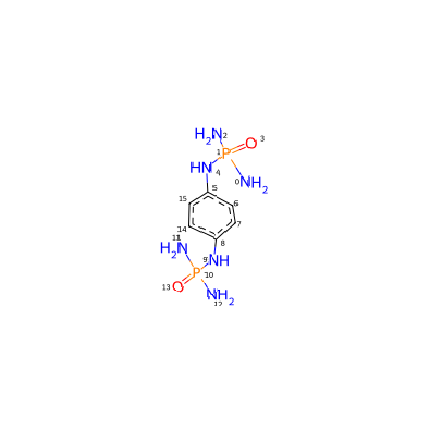 NP(N)(=O)Nc1ccc(NP(N)(N)=O)cc1